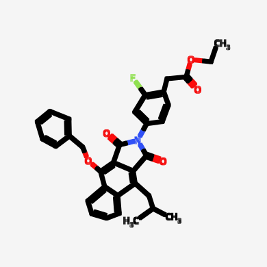 CCOC(=O)Cc1ccc(N2C(=O)c3c(c(OCc4ccccc4)c4ccccc4c3CC(C)C)C2=O)cc1F